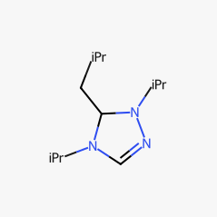 CC(C)CC1N(C(C)C)C=NN1C(C)C